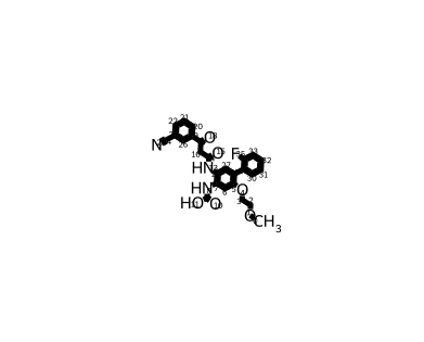 COCCOc1cc(NC(=O)O)c(NC(=O)CC(=O)c2cccc(C#N)c2)cc1-c1ccccc1F